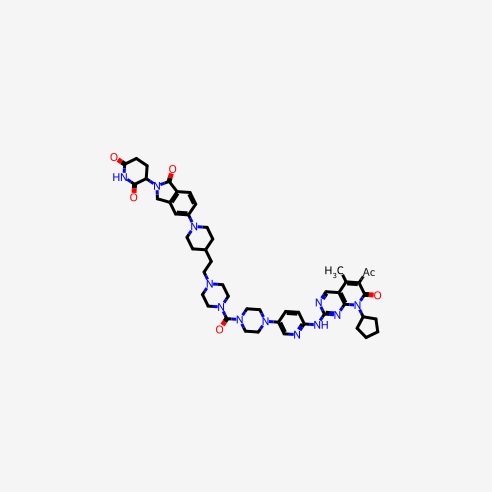 CC(=O)c1c(C)c2cnc(Nc3ccc(N4CCN(C(=O)N5CCN(CCC6CCN(c7ccc8c(c7)CN(C7CCC(=O)NC7=O)C8=O)CC6)CC5)CC4)cn3)nc2n(C2CCCC2)c1=O